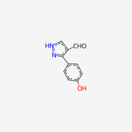 O=Cc1c[nH]nc1-c1ccc(O)cc1